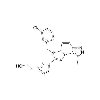 Cc1nnc2n1C1C=C(c3ccn(CCO)n3)N(Cc3cccc(Cl)c3)C1C=C2